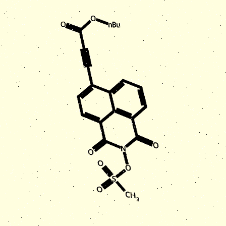 CCCCOC(=O)C#Cc1ccc2c3c(cccc13)C(=O)N(OS(C)(=O)=O)C2=O